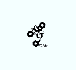 COc1ccccc1CN1CCN(C2(c3cnc4ccccc4n3)C(=O)c3ccccc3C2=O)CC1